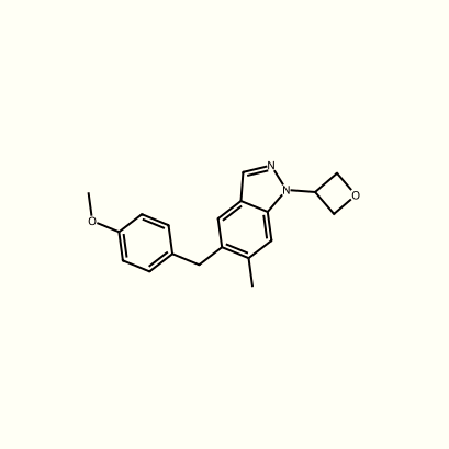 COc1ccc(Cc2cc3cnn(C4COC4)c3cc2C)cc1